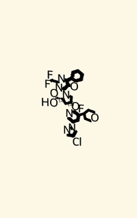 O=C(O)[C@@H]1C[C@H](Oc2ncc(-n3cc(Cl)cn3)cc2C2(F)CCOCC2)CN1c1nc(C(F)F)nc2c1oc1ccccc12